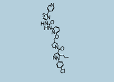 CCCc1c(C(=O)N2CCC(COc3cccc(NC(=O)Nc4csc(-c5ccncc5)n4)n3)C2)cnn1-c1ccc(Cl)cc1